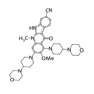 COc1c(N2CCC(N3CCOCC3)CC2)cc2c(c1N1CCC(N3CCOCC3)CC1)c(=O)c1c3ccc(C#N)cc3[nH]c1n2C